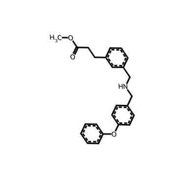 COC(=O)CCc1cccc(CNCc2ccc(Oc3ccccc3)cc2)c1